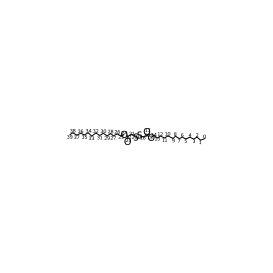 CCCCCCCCCCCCCCCOC(=O)CSSCC(=O)OCCCCCCCCCCCCCCC